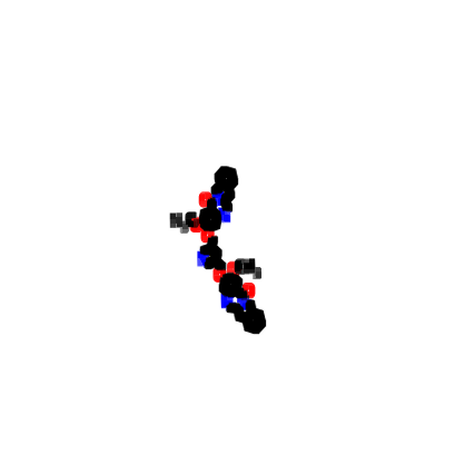 COc1cc2c(cc1OCc1cncc(COc3cc4c(cc3OC)C(=O)N3Cc5ccccc5CC3C=N4)c1)N=CC1Cc3ccccc3CN1C2=O